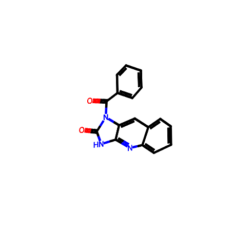 O=C(c1ccccc1)n1c(=O)[nH]c2nc3ccccc3cc21